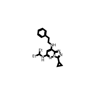 CCC(CC)Nc1cc(NCCc2ccccc2)c2nnc(C3CC3)n2n1